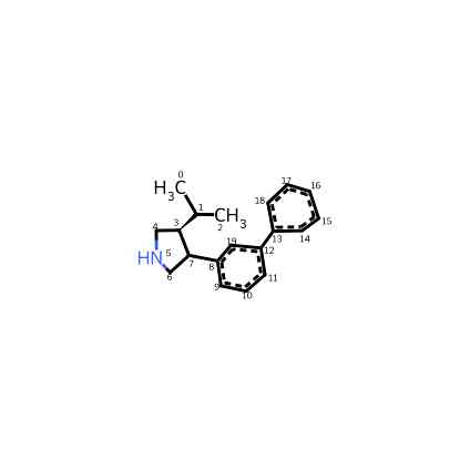 CC(C)[C@@H]1CNCC1c1cccc(-c2ccccc2)c1